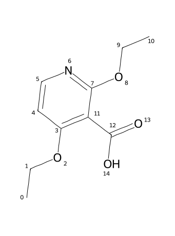 CCOc1ccnc(OCC)c1C(=O)O